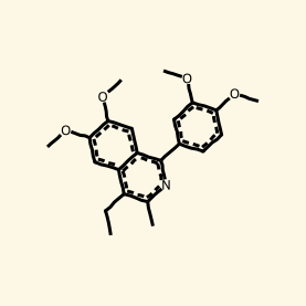 CCc1c(C)nc(-c2ccc(OC)c(OC)c2)c2cc(OC)c(OC)cc12